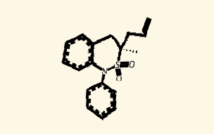 C=CC[C@]1(C)Cc2ccccc2N(c2ccccc2)S1(=O)=O